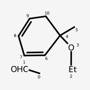 CC=O.CCOC1(C)C=CC=CC1